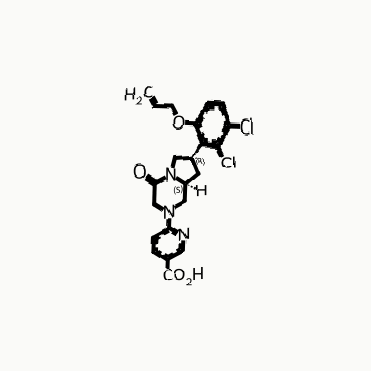 C=CCOc1ccc(Cl)c(Cl)c1[C@H]1C[C@H]2CN(c3ccc(C(=O)O)cn3)CC(=O)N2C1